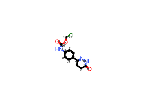 O=C1CCC(c2ccc(NC(=O)OCCl)cc2)=NN1